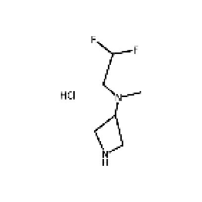 CN(CC(F)F)C1CNC1.Cl